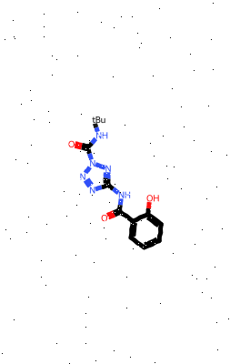 CC(C)(C)NC(=O)n1nnc(NC(=O)c2ccccc2O)n1